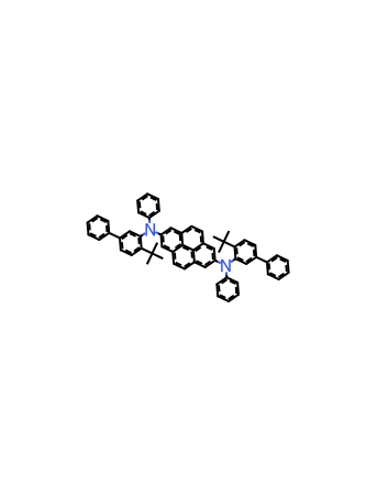 CC(C)(C)c1ccc(-c2ccccc2)cc1N(c1ccccc1)c1cc2ccc3cc(N(c4ccccc4)c4cc(-c5ccccc5)ccc4C(C)(C)C)cc4ccc(c1)c2c34